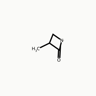 CC1C[N]C1=O